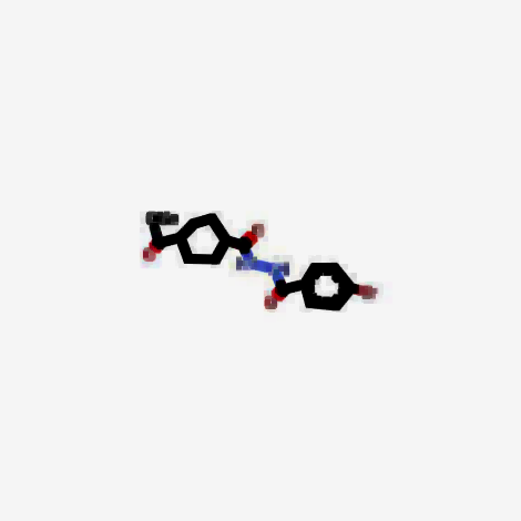 COC(=O)C1CCC(C(=O)NNC(=O)c2ccc(Br)cc2)CC1